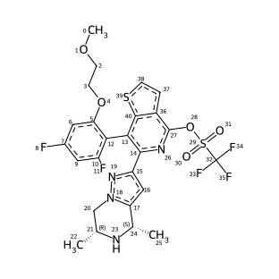 COCCOc1cc(F)cc(F)c1-c1c(-c2cc3n(n2)C[C@@H](C)N[C@H]3C)nc(OS(=O)(=O)C(F)(F)F)c2ccsc12